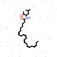 CC/C=C\C/C=C\C/C=C\C/C=C\C/C=C\CCCCCC(=O)NC(CC(C)C)C(C)=O